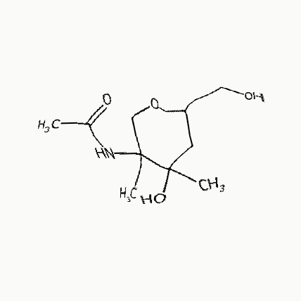 CC(=O)NC1(C)COC(CO)CC1(C)O